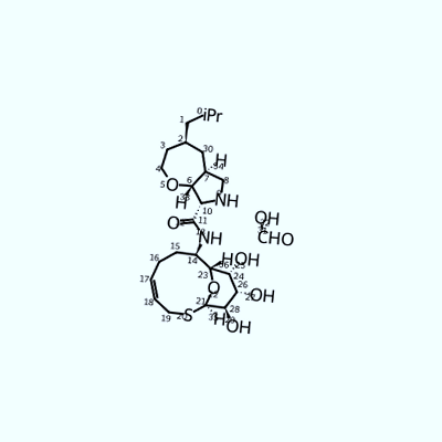 CC(C)C[C@@H]1CCO[C@@H]2[C@H](CN[C@@H]2C(=O)N[C@@H]2CC/C=C\CS[C@H]3O[C@H]2[C@H](O)[C@H](O)[C@H]3O)C1.O=CO